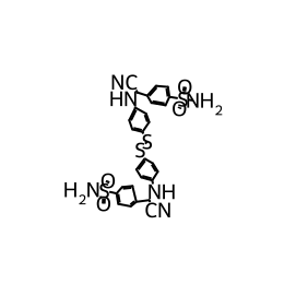 N#CC(Nc1ccc(SSc2ccc(NC(C#N)c3ccc(S(N)(=O)=O)cc3)cc2)cc1)c1ccc(S(N)(=O)=O)cc1